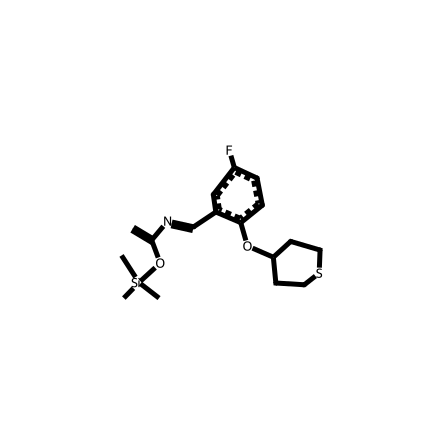 C=C(N=Cc1cc(F)ccc1OC1CCSCC1)O[Si](C)(C)C